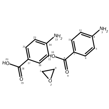 C1CO1.Nc1ccc(C(=O)O)cc1.Nc1ccc(C(=O)O)cc1